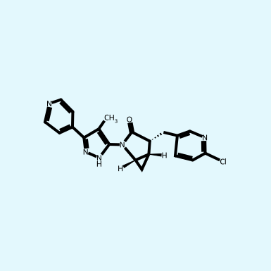 Cc1c(-c2ccncc2)n[nH]c1N1C(=O)[C@H](Cc2ccc(Cl)nc2)[C@@H]2C[C@@H]21